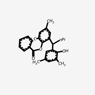 CCCC(c1cc(C)cc(C)c1O)c1cc(C)cc(C)c1OC(=O)c1ccccc1